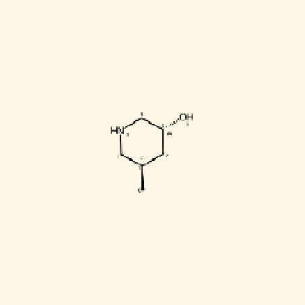 C[C@H]1CNC[C@H](O)C1